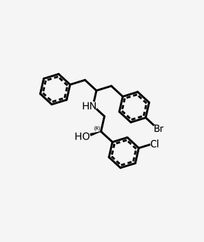 O[C@@H](CNC(Cc1ccccc1)Cc1ccc(Br)cc1)c1cccc(Cl)c1